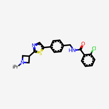 CC(C)N1CC(c2ncc(-c3ccc(CNC(=O)c4ccccc4Cl)cc3)s2)C1